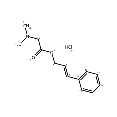 CN(C)CC(=O)OC/C=C/c1ccccc1.Cl